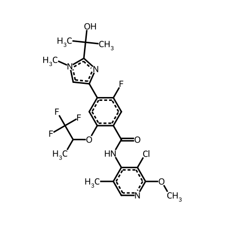 COc1ncc(C)c(NC(=O)c2cc(F)c(-c3cn(C)c(C(C)(C)O)n3)cc2OC(C)C(F)(F)F)c1Cl